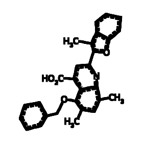 Cc1cc(C)c2nc(-c3oc4ccccc4c3C)cc(C(=O)O)c2c1OCc1ccccc1